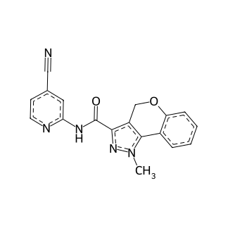 Cn1nc(C(=O)Nc2cc(C#N)ccn2)c2c1-c1ccccc1OC2